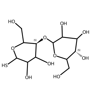 OCC1OC(O[C@@H]2C(CO)OC(S)C(O)C2O)C(O)C(O)[C@@H]1O